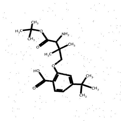 CC(C)(C)OC(=O)C(N)C(C)(C)COc1cc(C(C)(C)C)ccc1C(=O)O